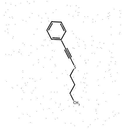 CCCCSC#Cc1ccccc1